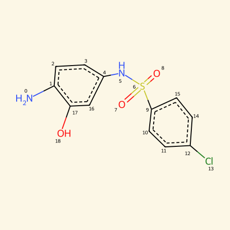 Nc1ccc(NS(=O)(=O)c2ccc(Cl)cc2)cc1O